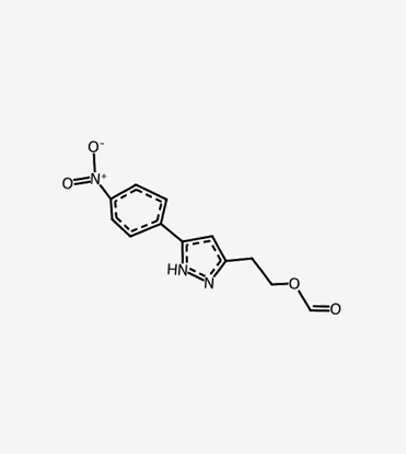 O=COCCc1cc(-c2ccc([N+](=O)[O-])cc2)[nH]n1